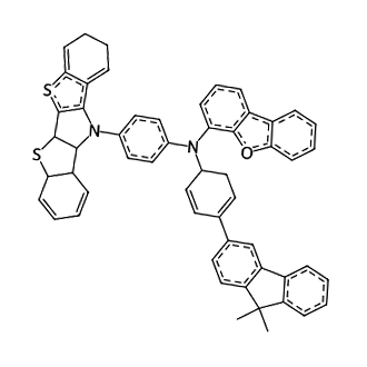 CC1(C)c2ccccc2-c2cc(C3=CCC(N(c4ccc(N5c6c(sc7c6=CCCC=7)C6SC7C=CC=CC7C65)cc4)c4cccc5c4oc4ccccc45)C=C3)ccc21